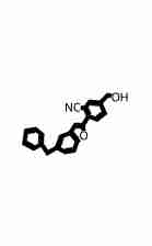 N#Cc1cc(CO)ccc1-c1cc2cc(Cc3ccccc3)ccc2o1